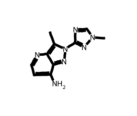 Cc1c2nccc(N)c2nn1-c1ncn(C)n1